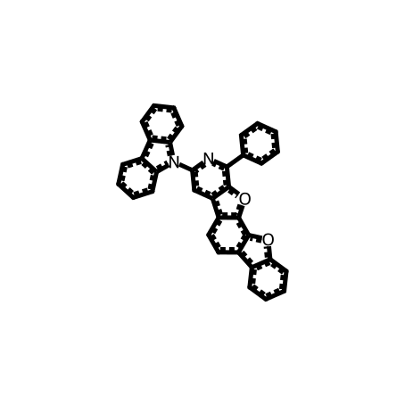 c1ccc(-c2nc(-n3c4ccccc4c4ccccc43)cc3c2oc2c3ccc3c4ccccc4oc32)cc1